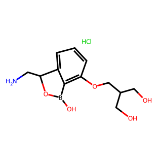 Cl.NCC1OB(O)c2c(OCC(CO)CO)cccc21